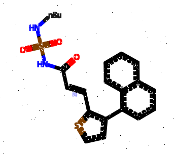 CCCCNS(=O)(=O)NC(=O)/C=C/c1sccc1-c1cccc2ccccc12